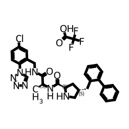 C[C@H](NC(=O)[C@H]1C[C@H](Cc2ccccc2-c2ccccc2)CN1)C(=O)NCc1cc(Cl)ccc1-n1cnnn1.O=C(O)C(F)(F)F